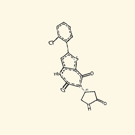 O=C1C[C@@H](n2c(=O)[nH]c3cc(-c4ccccc4Cl)sc3c2=O)CN1